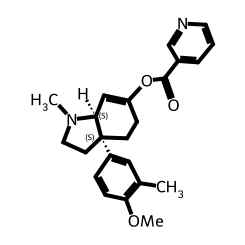 COc1ccc([C@@]23CCC(OC(=O)c4cccnc4)=C[C@@H]2N(C)CC3)cc1C